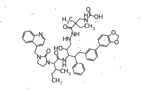 CCC(C)C(C(=O)NC(C(O)CNNC(=O)C(C)(CC)CNC(=O)O)C(Cc1cccc(-c2ccc3c(c2)OCO3)c1)c1ccccc1)N1CCN(Cc2ccnc3ccccc23)C1=O